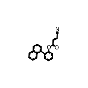 N#CC=CC(=O)Oc1ccccc1-c1cccc2ccccc12